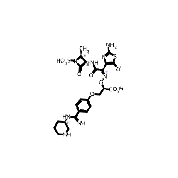 C[C@H]1[C@H](NC(=O)/C(=N\OC(COc2ccc(C(=N)N[C@@H]3CCCNC3)cc2)C(=O)O)c2nc(N)sc2Cl)C(=O)N1S(=O)(=O)O